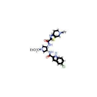 CCOC(=O)N1C[C@@H](NC(=O)c2cc3cc(Cl)ccc3[nH]2)[C@H](NC(=O)c2nc3c(s2)CN(C(C)C)CC3)C1